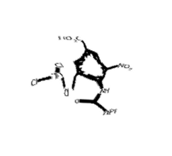 CCCC(=O)Nc1c(C)cc(C(=O)O)cc1[N+](=O)[O-].[Cl][Ti]([Cl])[Cl]